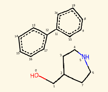 OCC1CCNCC1.c1ccc(-c2ccccc2)cc1